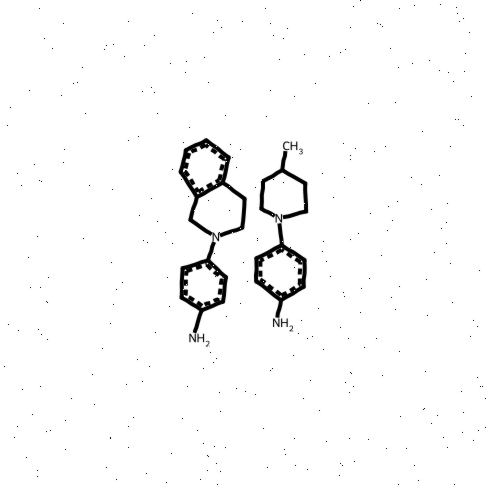 CC1CCN(c2ccc(N)cc2)CC1.Nc1ccc(N2CCc3ccccc3C2)cc1